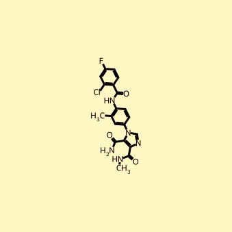 CNC(=O)c1ncn(-c2ccc(NC(=O)c3ccc(F)cc3Cl)c(C)c2)c1C(N)=O